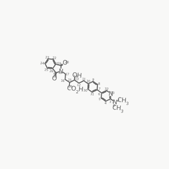 CN(C)c1ccc(-c2ccc(CCC(O)C(CCN3C(=O)c4ccccc4C3=O)C(=O)O)cc2)cn1